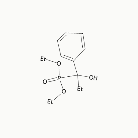 [CH2]CC(O)(c1ccccc1)P(=O)(OCC)OCC